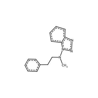 CN(CCc1ccccc1)n1nnc2ccccc21